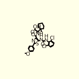 COc1ccc(-c2nc(C(=O)N[C@H](C(=O)O)C3(C)CCCCC3)c(NC(=O)Nc3c(Cl)cccc3Cl)s2)cc1